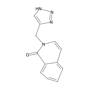 O=c1c2ccccc2ccn1Cc1c[nH]nn1